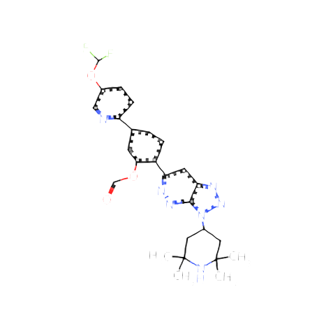 CC1(C)CC(n2nnc3cc(-c4ccc(-c5ccc(OC(F)F)cn5)cc4OC=O)nnc32)CC(C)(C)N1